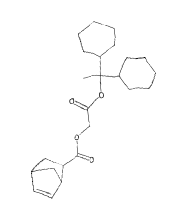 CC(OC(=O)COC(=O)C1CC2C=CC1C2)(C1CCCCC1)C1CCCCC1